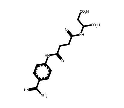 N=C(N)c1ccc(NC(=O)CCC(=O)NC(CC(=O)O)C(=O)O)cc1